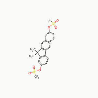 CC1(C)c2cc(OS(=O)(=O)C(F)(F)F)ccc2-c2cc3ccc(OS(=O)(=O)C(F)(F)F)cc3cc21